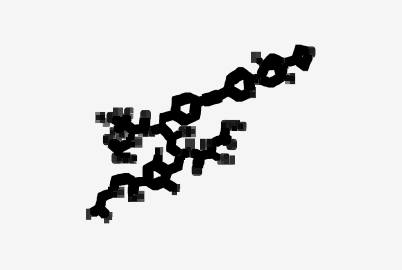 COC(=O)N[C@H](C(=O)NN(Cc1c(F)cc(C(=N)/C=C\NCC(F)F)cc1F)C[C@H](O)[C@H](Cc1ccc(C#Cc2ccc(N3C[C@H]4C[C@@H]3CN4C3COC3)nc2)cc1)NC(=O)[C@@H](NC(=O)OC)C(C)(C)C(F)(F)F)C(C)(C)C